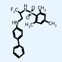 Cc1cc(C)c(S(=O)(=O)NC(CNc2ccc(-c3ccccc3)cc2)C(F)(F)F)c(C)c1